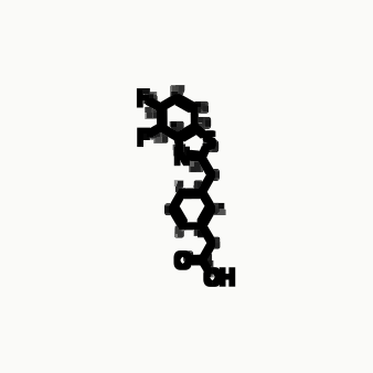 O=C(O)Cc1cccc(Cc2nc3c(F)c(F)ccc3s2)c1